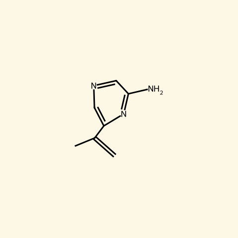 C=C(C)c1cncc(N)n1